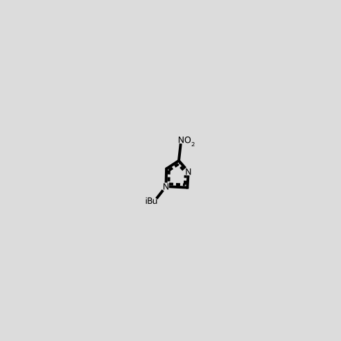 [CH2]CC(C)n1cnc([N+](=O)[O-])c1